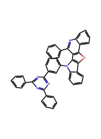 c1ccc(-c2nc(-c3ccccc3)nc(-c3cccc(-n4c5ccccc5c5oc6c7ccccc7nc(-c7ccccc7)c6c54)c3)n2)cc1